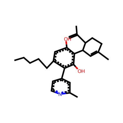 C=C(C)C1CCC(C)=CC1c1c(O)cc(CCCCC)c(-c2ccnc(C)c2)c1O